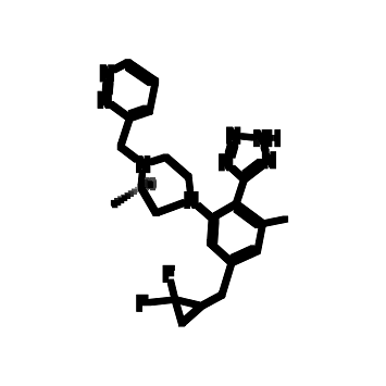 Cc1cc(CC2CC2(F)F)cc(N2CCN(Cc3cccnn3)[C@@H](C)C2)c1-c1nn[nH]n1